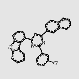 Clc1cccc(-c2nc(-c3ccc4ccccc4c3)nc(-c3cccc4oc5ccccc5c34)n2)c1